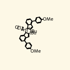 COc1ccc(-c2cccc3c2C=C(C(C)(C)C)[CH]3[Hf+2]2([CH]3C(C(C)(C)C)=Cc4c(-c5ccc(OC)cc5)cccc43)[CH2][CH2]2)cc1.[Cl-].[Cl-]